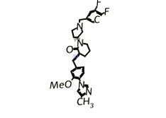 COc1cc(/C=C2\CCCN([C@@H]3CCN(Cc4ccc(F)c(F)c4)C3)C2=O)ccc1-n1cnc(C)c1